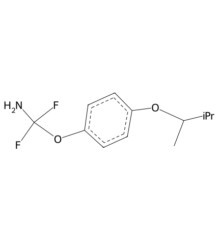 CC(C)C(C)Oc1ccc(OC(N)(F)F)cc1